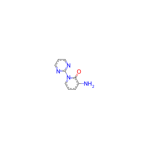 Nc1cccn(-c2ncccn2)c1=O